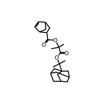 CC(C)(OC(=O)C1CC2C=CC1C2)C(=O)OC(C)(C)C12CC3CC(CC(C3)C1)C2